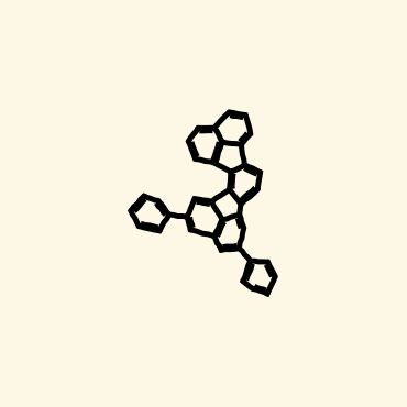 c1ccc(-c2cc3cc(-c4ccccc4)cc4c3c(c2)c2ccc3c5cccc6cccc(c65)c3c24)cc1